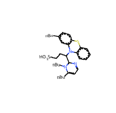 CCCCC1=CC=NC(C(CCS(=O)(=O)O)N2c3ccccc3Sc3ccc(CCCC)cc32)N1CCCC